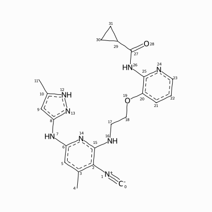 [C-]#[N+]c1c(C)cc(Nc2cc(C)[nH]n2)nc1NCCOc1cccnc1NC(=O)C1CC1